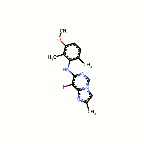 COc1ccc(C)c(Nc2ncn3cc(C)nc3c2I)c1C